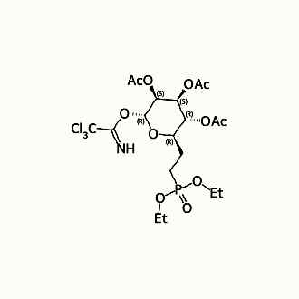 CCOP(=O)(CC[C@H]1O[C@H](OC(=N)C(Cl)(Cl)Cl)[C@@H](OC(C)=O)[C@@H](OC(C)=O)[C@@H]1OC(C)=O)OCC